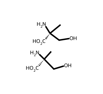 C[C@](N)(CO)C(=O)O.C[C@](N)(CO)C(=O)O